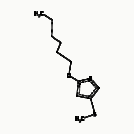 CCCCCCOc1cc(SC)cs1